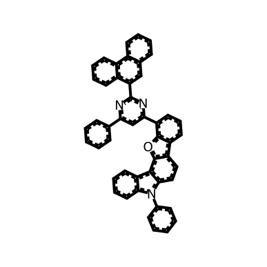 c1ccc(-c2cc(-c3cccc4c3oc3c4ccc4c3c3ccccc3n4-c3ccccc3)nc(-c3cc4ccccc4c4ccccc34)n2)cc1